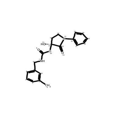 Cc1cccc(CNC(=O)O[C@@]2(O)CCN(c3ccccc3)C2=O)c1